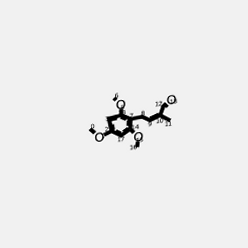 COc1cc(OC)c(CC=C(C)C=O)c(OC)c1